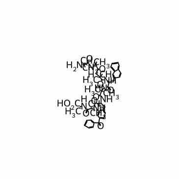 CC(NC(=O)C(C)(C)NC(=O)C(Cc1ccc(C(=O)c2ccccc2)cc1)NC(=O)C(C)(C)NC(=O)C(Cc1ccc2ccccc2c1)NC(=O)C(C)(C)CC(=O)C(C)NC(=O)C(C)(C)N)C(=O)O